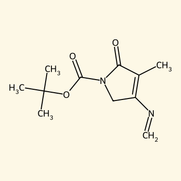 C=NC1=C(C)C(=O)N(C(=O)OC(C)(C)C)C1